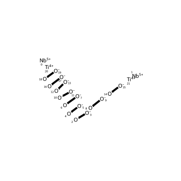 [Nb+5].[Nb+5].[O-][O-].[O-][O-].[O-][O-].[O-][O-].[O-][O-].[O-][O-].[O-][O-].[O-][O-].[O-][O-].[Ti+4].[Ti+4]